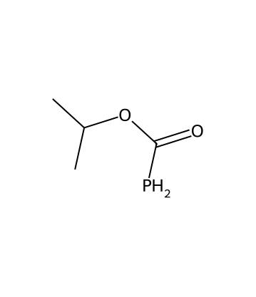 CC(C)OC(=O)P